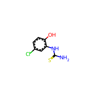 NC(=S)Nc1cc(Cl)ccc1O